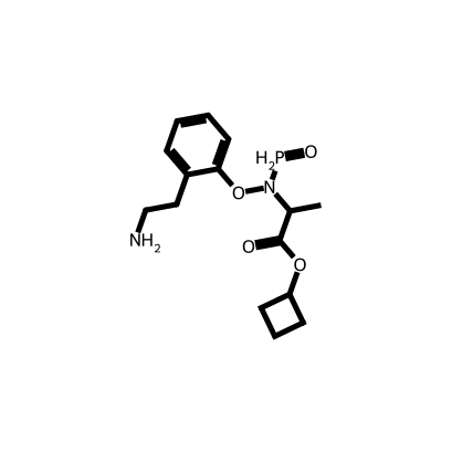 CC(C(=O)OC1CCC1)N(Oc1ccccc1CCN)[PH2]=O